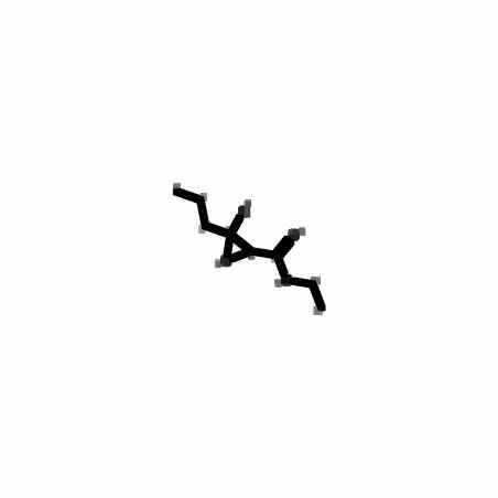 CCCC1(Cl)OC1C(=O)OCC